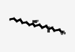 CCCCCCCCCCCCNCCCN.Cl